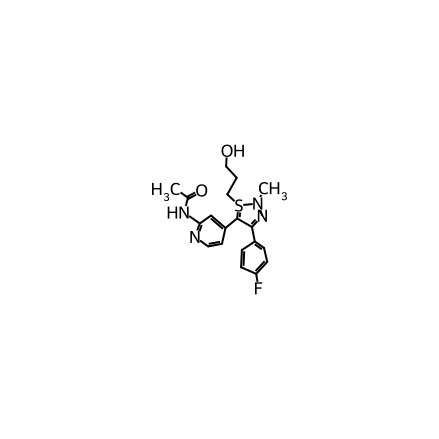 CC(=O)Nc1cc(C2=S(CCCO)N(C)N=C2c2ccc(F)cc2)ccn1